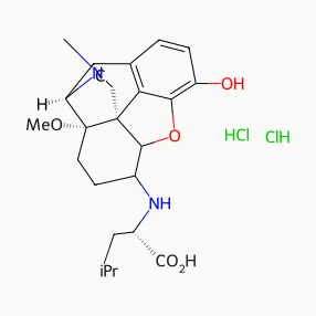 CO[C@@]12CCC(N[C@@H](CC(C)C)C(=O)O)C3Oc4c(O)ccc5c4[C@@]31CCN(C)[C@@H]2C5.Cl.Cl